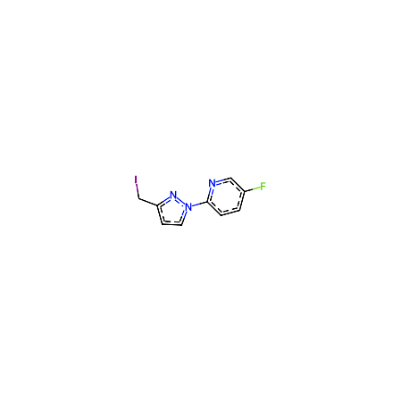 Fc1ccc(-n2ccc(CI)n2)nc1